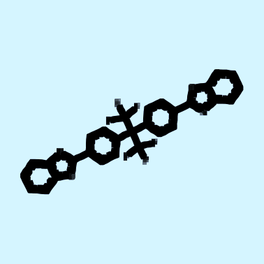 FC(F)(F)C(c1ccc(-c2nc3ccccc3o2)cc1)(c1ccc(-c2nc3ccccc3o2)cc1)C(F)(F)F